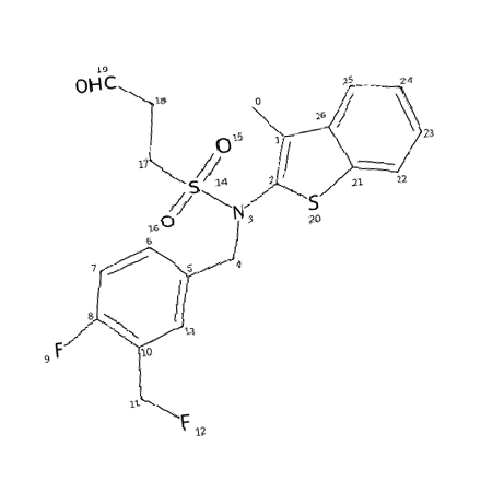 Cc1c(N(Cc2ccc(F)c(CF)c2)S(=O)(=O)CCC=O)sc2ccccc12